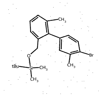 Cc1cc(-c2c(C)cccc2CO[Si](C)(C)C(C)(C)C)ccc1Br